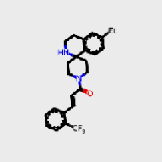 CCc1ccc2c(c1)CCNC21CCN(C(=O)/C=C/c2ccccc2C(F)(F)F)CC1